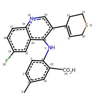 Cc1ccc(Nc2c(C3=CCSCC3)cnc3ccc(F)cc23)c(C(=O)O)c1